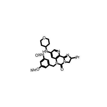 COc1cc(CN2C(=O)N3CC(C(C)C)N=C3c3ncc(NC4CCOCC4)cc32)cc(OC)c1